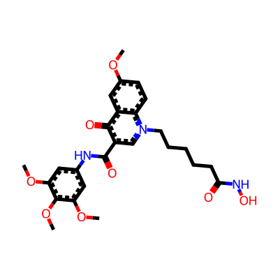 COc1ccc2c(c1)c(=O)c(C(=O)Nc1cc(OC)c(OC)c(OC)c1)cn2CCCCCC(=O)NO